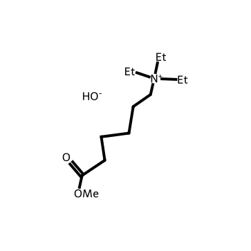 CC[N+](CC)(CC)CCCCCC(=O)OC.[OH-]